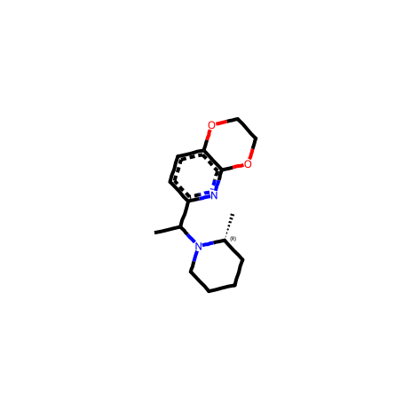 CC(c1ccc2c(n1)OCCO2)N1CCCC[C@H]1C